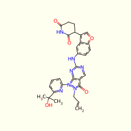 C=CCn1c(=O)c2cnc(Nc3ccc4occ(C5CCC(=O)NC5=O)c4c3)nc2n1-c1cccc(C(C)(C)O)n1